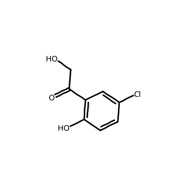 O=C(CO)c1cc(Cl)ccc1O